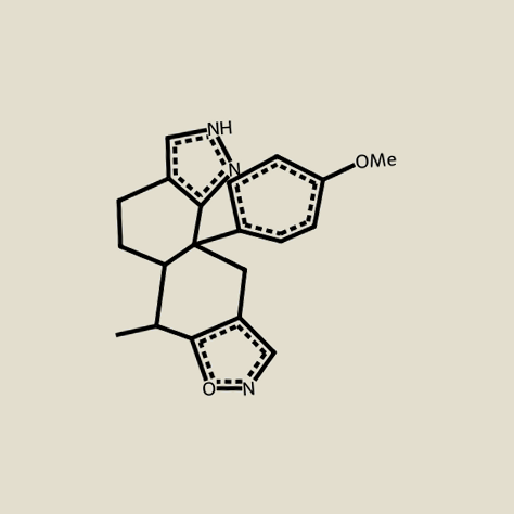 COc1ccc(C23Cc4cnoc4C(C)C2CCc2c[nH]nc23)cc1